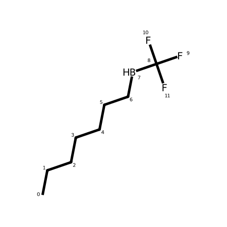 CCCCCCCBC(F)(F)F